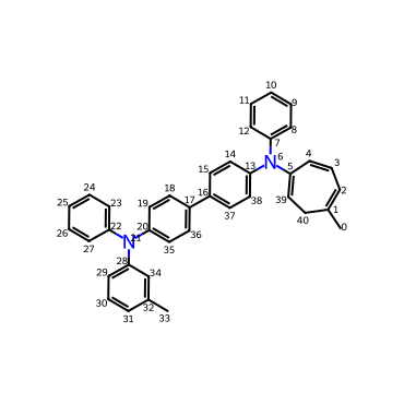 CC1=CC=CC(N(c2ccccc2)c2ccc(-c3ccc(N(c4ccccc4)c4cccc(C)c4)cc3)cc2)=CC1